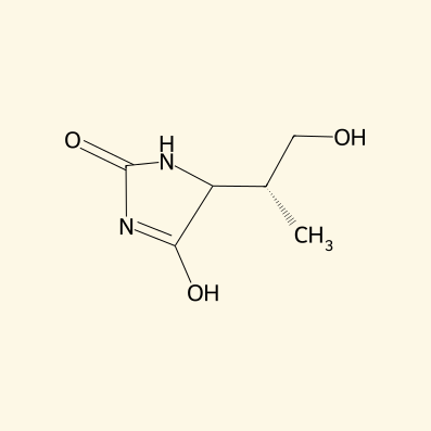 C[C@@H](CO)C1NC(=O)N=C1O